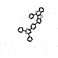 c1ccc(-c2cc(-c3ccc(-c4ccc5oc6c7ccccc7nc(-c7ccccc7)c6c5c4)cc3)nc(-c3ccccc3)n2)cc1